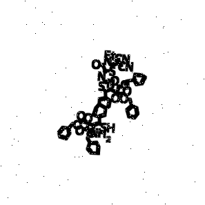 CCN1C(=O)/C(=N/C2=NC3C(S2)C2=CC4C=C5OC(C(=O)OCc6ccccc6)(C(=O)OCc6ccccc6)C(N)=C(S)C5=CC4C=C2OC3(C(=O)OCc2ccccc2)C(=O)OCc2ccccc2)SC1=C(C#N)C#N